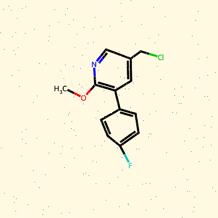 COc1ncc(CCl)cc1-c1ccc(F)cc1